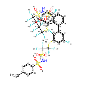 O=S(=O)(O)c1ccc(S(=O)(=O)NS(=O)(=O)C(F)(F)C(F)(F)Sc2cc(F)cc(-c3cccc(S(=O)(=O)NS(=O)(=O)C(F)(F)C(F)(F)C(F)(F)C(F)(F)Sc4cc(F)ccc4F)c3S(=O)(=O)O)c2F)cc1